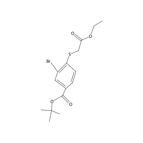 CCOC(=O)CSc1ccc(C(=O)OC(C)(C)C)cc1Br